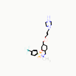 CN(CC1CCC(COCC=CCN2CCNCC2)CC1)S(=O)(=O)c1ccc(C(F)(F)F)cc1